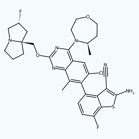 Cc1c(-c2ccc(F)c3sc(N)c(C#N)c23)c(Cl)cc2c(N3CCOCC[C@H]3C)nc(OC[C@@]34CCCN3C[C@H](F)C4)nc12